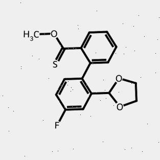 COC(=S)c1ccccc1-c1ccc(F)cc1C1OCCO1